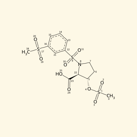 CS(=O)(=O)O[C@H]1CCN(S(=O)(=O)c2cccc(S(C)(=O)=O)c2)[C@@H]1C(=O)O